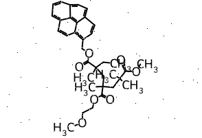 CCC(C)(CC(C)(CC(C)(C)C(=O)OC)C(=O)OCCOC)C(=O)OCc1ccc2ccc3cccc4ccc1c2c34